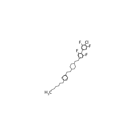 CCCCCCCc1ccc(CCC2CCC(CCc3cc(F)c(-c4cc(F)c(Cl)c(F)c4)c(F)c3)CC2)cc1